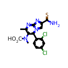 Cc1nc2nc(C(N)=S)cn2c(-c2ccc(Cl)cc2Cl)c1N(C)C(=O)O